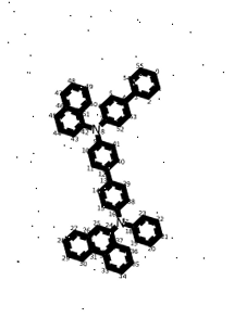 c1ccc(-c2ccc(N(c3ccc(-c4ccc(N(c5ccccc5)c5cc6ccccc6c6ccccc56)cc4)cc3)c3cccc4ccccc34)cc2)cc1